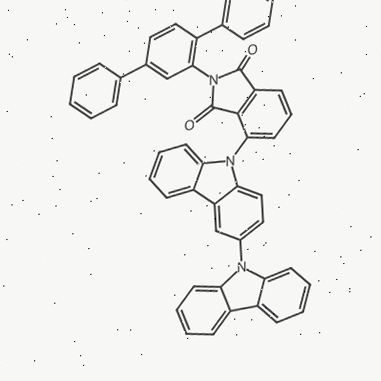 O=C1c2cccc(-n3c4ccccc4c4cc(-n5c6ccccc6c6ccccc65)ccc43)c2C(=O)N1c1cc(-c2ccccc2)ccc1-c1ccccc1